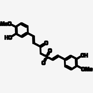 COc1ccc(C=CC(=O)CS(=O)(=O)C=Cc2ccc(OC)c(O)c2)cc1O